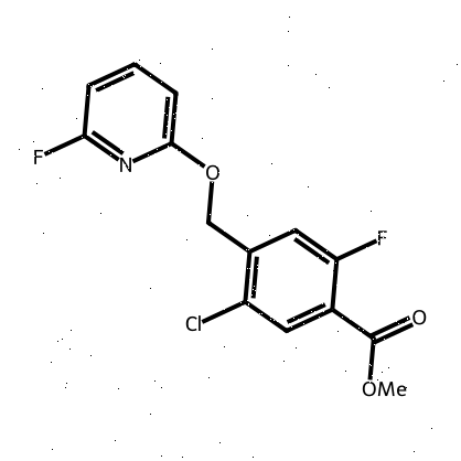 COC(=O)c1cc(Cl)c(COc2cccc(F)n2)cc1F